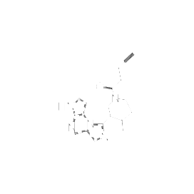 C#CCCC(=O)N1CCC(C)C(c2ncc3cnc4[nH]ccc4n23)C1